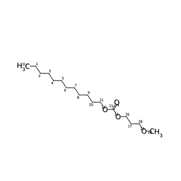 CCCCCCCCCCCCOC(=O)OCCCOC